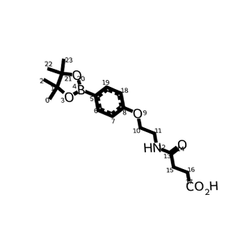 CC1(C)OB(c2ccc(OCCNC(=O)CCC(=O)O)cc2)OC1(C)C